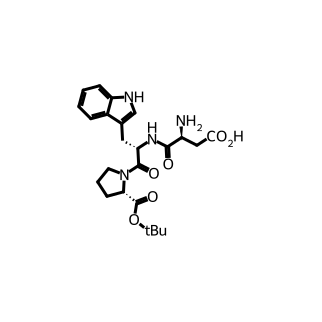 CC(C)(C)OC(=O)[C@@H]1CCCN1C(=O)[C@H](Cc1c[nH]c2ccccc12)NC(=O)[C@@H](N)CC(=O)O